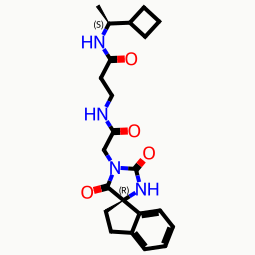 C[C@H](NC(=O)CCNC(=O)CN1C(=O)N[C@@]2(CCc3ccccc32)C1=O)C1CCC1